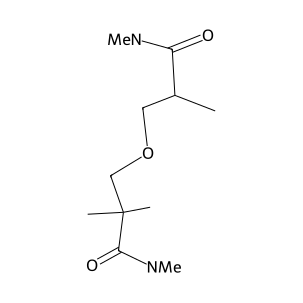 CNC(=O)C(C)COCC(C)(C)C(=O)NC